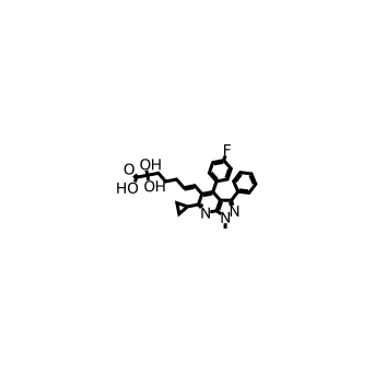 Cn1nc(-c2ccccc2)c2c(-c3ccc(F)cc3)c(C=CCCCC(O)(O)C(=O)O)c(C3CC3)nc21